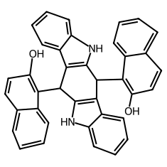 Oc1ccc2ccccc2c1C1c2[nH]c3ccccc3c2C(c2c(O)ccc3ccccc23)c2[nH]c3ccccc3c21